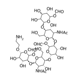 CC(=O)NC1[C@@H](O[C@@H]2C(OC=O)O[C@@H](O[C@@H]3C(CO)O[C@H](O[C@@H]4C(OC=O)O[C@@H](OCCN)C(O)[C@H]4O)C(NC(C)=O)[C@H]3O)C(O)[C@H]2O)OC(CO)[C@@H](O[C@@H]2OC(OC=O)[C@@H](O)[C@H](O)C2O)[C@@H]1O